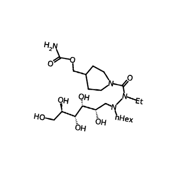 CCCCCCN(C[C@H](O)[C@@H](O)[C@H](O)[C@H](O)CO)N(CC)C(=O)N1CCC(COC(N)=O)CC1